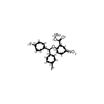 CC(C)(C)OC(=O)c1cc([N+](=O)[O-])ccc1OC(c1ccc(F)cc1)c1ccc(F)cc1